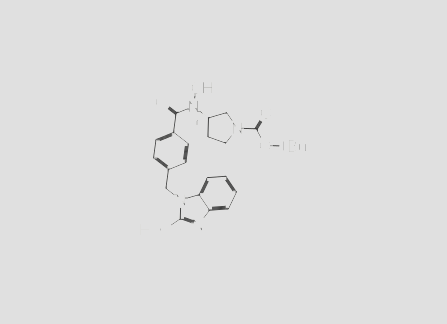 Cc1nc2ccccc2n1Cc1ccc(C(=O)N(C)[C@@H]2CCN(C(=O)OC(C)(C)C)C2)cc1